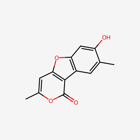 Cc1cc2oc3cc(O)c(C)cc3c2c(=O)o1